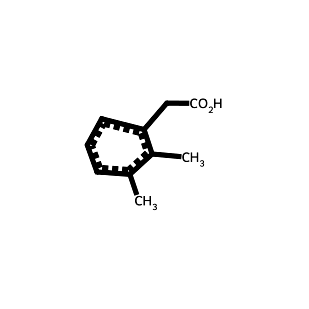 Cc1cccc(CC(=O)O)c1C